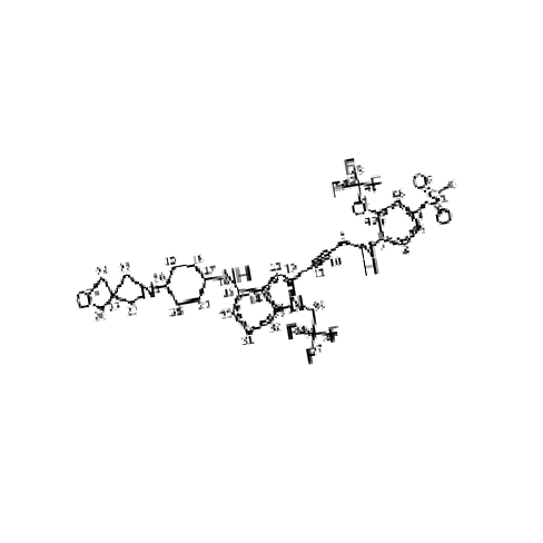 CS(=O)(=O)c1ccc(NCC#Cc2cc3c(NC4CCC(N5CC6(COC6)C5)CC4)cccc3n2CC(F)(F)F)c(OC(F)(F)F)c1